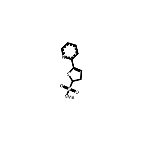 CNS(=O)(=O)C1CC=C(c2ccccn2)S1